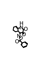 O=C1NC2=CCCCC2C(=NOC(=O)c2ccccc2)C1=O